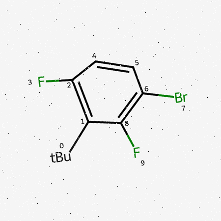 CC(C)(C)c1c(F)ccc(Br)c1F